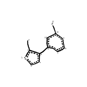 Cc1s[c]cc1-c1cccc(F)c1